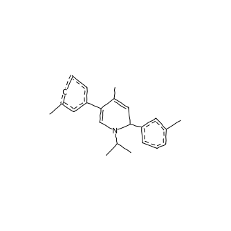 CC1=CC(c2cccc(C)c2)N(C(C)C)C=C1c1cccc(C)c1